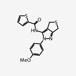 COc1ccc(-n2nc3c(c2NC(=O)c2cccs2)CSC3)cc1